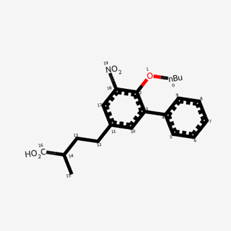 CCCCOc1c(-c2ccccc2)cc(CCC(C)C(=O)O)cc1[N+](=O)[O-]